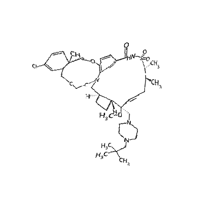 CO[C@]1(CN2CCN(CC(C)(C)C)CC2)/C=C/C[C@H](C)[C@@H](C)S(=O)(=O)NC(=O)c2ccc3c(c2)N(CCCCC2C=C(Cl)C=CC2(C)CO3)C[C@@H]2CC[C@H]21